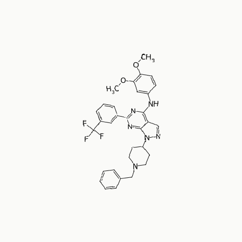 COc1ccc(Nc2nc(-c3cccc(C(F)(F)F)c3)nc3c2cnn3C2CCN(Cc3ccccc3)CC2)cc1OC